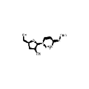 CN(/C=C\C(N)=N/C=O)C1OC(CO)CC1C#N